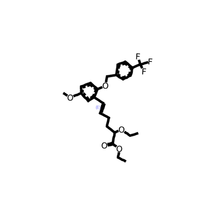 CCOC(=O)C(CC/C=C/c1cc(OC)ccc1OCc1ccc(C(F)(F)F)cc1)OCC